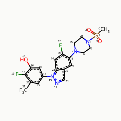 CS(=O)(=O)N1CCN(c2cc3cnn(-c4cc(O)c(F)c(C(F)(F)F)c4)c3cc2F)CC1